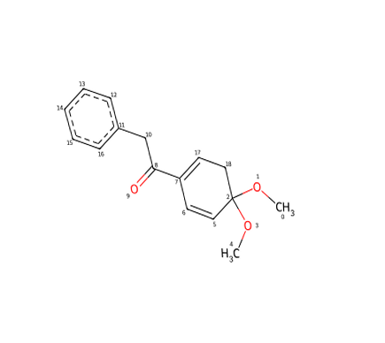 COC1(OC)C=CC(C(=O)Cc2ccccc2)=CC1